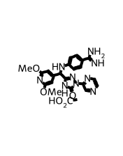 CC(=O)O.COc1cc(C(Nc2ccc(C(=N)N)cc2)c2nn(-c3cnccn3)c(=O)[nH]2)cc(OC)n1